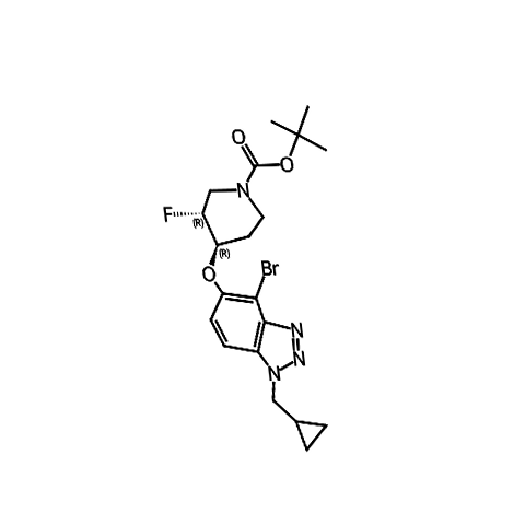 CC(C)(C)OC(=O)N1CC[C@@H](Oc2ccc3c(nnn3CC3CC3)c2Br)[C@H](F)C1